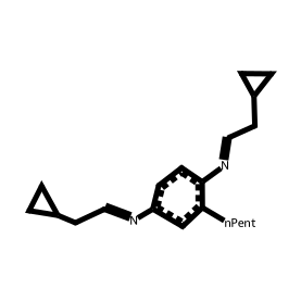 CCCCCc1cc(N=CCC2CC2)ccc1N=CCC1CC1